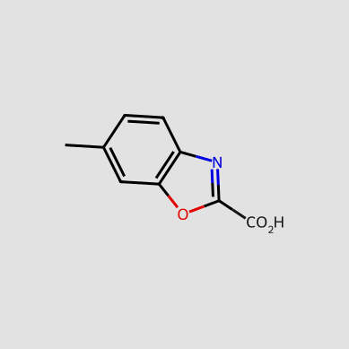 Cc1ccc2nc(C(=O)O)oc2c1